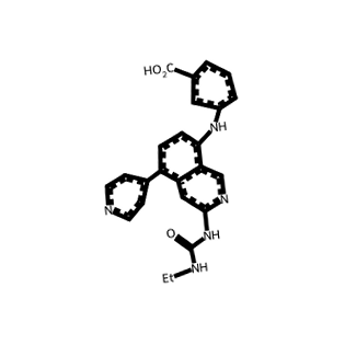 CCNC(=O)Nc1cc2c(-c3ccncc3)ccc(Nc3cccc(C(=O)O)c3)c2cn1